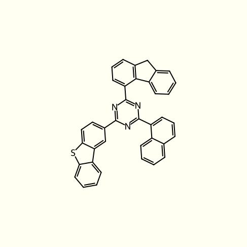 c1ccc2c(c1)Cc1cccc(-c3nc(-c4ccc5sc6ccccc6c5c4)nc(-c4cccc5ccccc45)n3)c1-2